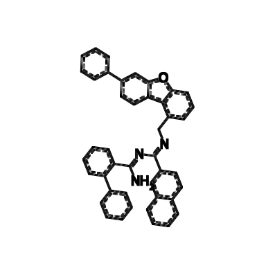 N/C(=N\C(=N/Cc1cccc2oc3cc(-c4ccccc4)ccc3c12)c1ccc2ccccc2c1)c1ccccc1-c1ccccc1